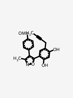 CC#CCc1cc(-c2onc(C)c2-c2ccc(OC)cc2)c(O)cc1O